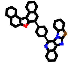 c1ccc2c(c1)ccc1oc3c(-c4ccc(-c5nc6ccccc6c6nc7sc8ccccc8n7c56)cc4)cc4ccccc4c3c12